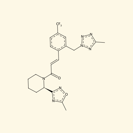 Cc1nnn(Cc2cc(C(F)(F)F)ccc2/C=C/C(=O)N2CCCC[C@@H]2c2noc(C)n2)n1